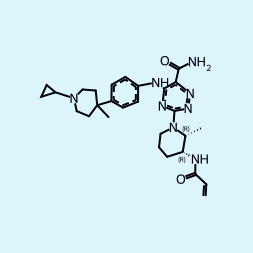 C=CC(=O)N[C@@H]1CCCN(c2nnc(C(N)=O)c(Nc3ccc(C4(C)CCN(C5CC5)CC4)cc3)n2)[C@@H]1C